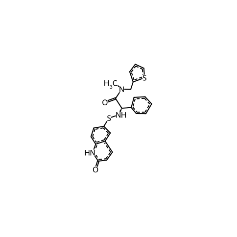 CN(Cc1cccs1)C(=O)[C@H](NSc1ccc2[nH]c(=O)ccc2c1)c1ccccc1